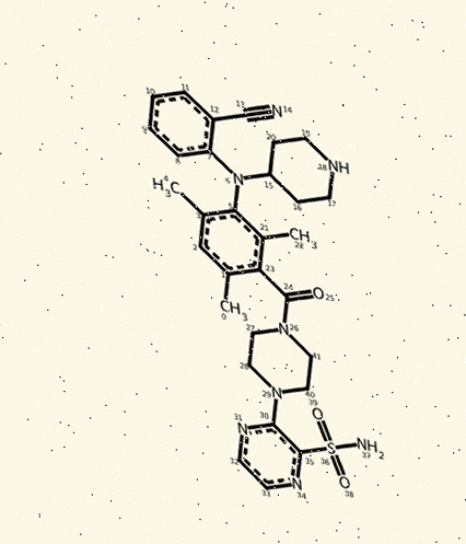 Cc1cc(C)c(N(c2ccccc2C#N)C2CCNCC2)c(C)c1C(=O)N1CCN(c2nccnc2S(N)(=O)=O)CC1